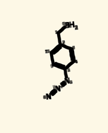 BCc1ccc(N=[N+]=[N-])cc1